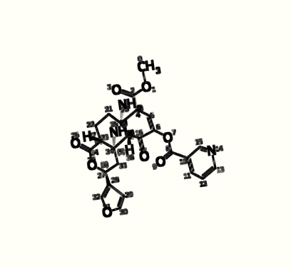 COC(=O)[C@@H]1C=C(OC(=O)c2cccnc2)C(=O)[C@H]2[C@@]1(N)CC[C@H]1C(=O)O[C@H](c3ccoc3)C[C@]21N